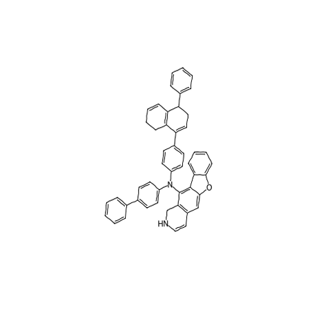 C1=CC2=C(CC1)C(c1ccc(N(c3ccc(-c4ccccc4)cc3)c3c4c(cc5oc6ccccc6c35)C=CNC4)cc1)=CCC2c1ccccc1